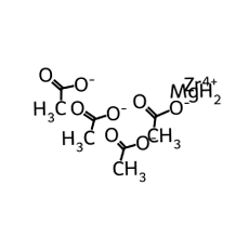 CC(=O)[O-].CC(=O)[O-].CC(=O)[O-].CC(=O)[O-].[MgH2].[Zr+4]